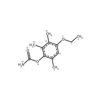 CCOc1cc(C)c(OC(N)=O)c(C)c1C